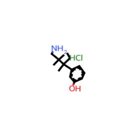 CCC(C)(c1cccc(O)c1)C(C)(C)CN.Cl